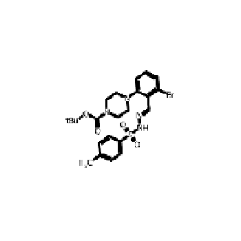 Cc1ccc(S(=O)(=O)N/N=C/c2c(Br)cccc2N2CCN(C(=O)OC(C)(C)C)CC2)cc1